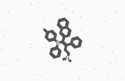 Cc1ccc(B(/C(=C(\CCN(C)C)c2ccccc2)c2ccc3ccccc3c2)c2ccccc2)cc1